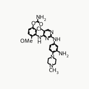 COc1ccc(OC(N)=O)cc1Nc1nc(Nc2ccc(N3CCN(C)CC3)c(N)c2)ncc1Cl